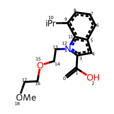 C=C(O)c1cc2cccc(C(C)C)c2n1CCOCCOC